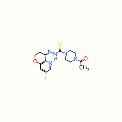 CC(=O)N1CCN(C(=S)N/N=C2/CCOc3cc(F)cnc32)CC1